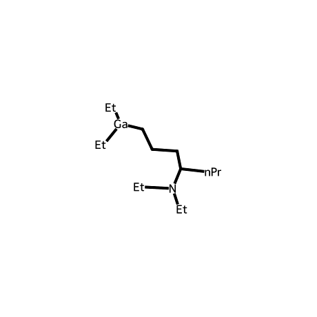 CCCC(CC[CH2][Ga]([CH2]C)[CH2]C)N(CC)CC